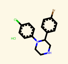 Cl.Clc1ccc(N2CCNCC2c2ccc(Br)cc2)cc1